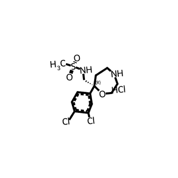 CS(=O)(=O)NC[C@]1(c2ccc(Cl)c(Cl)c2)CCNCCO1.Cl